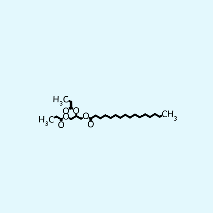 CCCCCCCCCCCCCCCC(=O)OCC(COC(=O)CC)OC(=O)CC